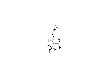 N#CCc1ccc(F)c(C(F)(F)F)c1I